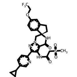 CS(=O)(=O)CC(=O)Nc1c(-c2ccc(C3CC3)cn2)nn2c1C(=O)N[C@]1(CCc3cc(OCC(F)(F)F)ccc31)C2